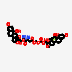 C[C@H]1CC2C3CCC4=CC(=O)C=C[C@]4(C)[C@@]3(F)[C@@H](O)C[C@]2(C)[C@@]1(O)C(=O)COC(=O)OCOC(=O)C[C@@H](N)C(=O)OCC(=O)[C@@]1(O)CCC2C3CCC4=CC(=O)C=C[C@]4(C)C3[C@@H](O)C[C@@]21C